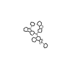 c1ccc(-c2nc3cc(N(c4ccc5sc6ccccc6c5c4)c4ccc5c6ccccc6n(-c6ccccc6)c5c4)c4ccccc4c3o2)cc1